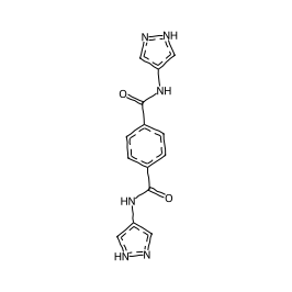 O=C(Nc1cn[nH]c1)c1ccc(C(=O)Nc2cn[nH]c2)cc1